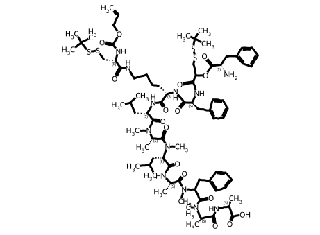 C=CCOC(=O)N[C@@H](CSSC(C)(C)C)C(=O)NCCCC[C@H](NC(=O)[C@H](Cc1ccccc1)NC(=O)C(CSSC(C)(C)C)OC(=O)[C@@H](N)Cc1ccccc1)C(=O)N[C@@H](CC(C)C)C(=O)N(C)[C@@H](C)C(=O)N(C)[C@@H](CC(C)C)C(=O)N[C@@H](C)C(=O)N(C)C(Cc1ccccc1)C(=O)N(C)[C@@H](C)C(=O)N[C@@H](C)C(=O)O